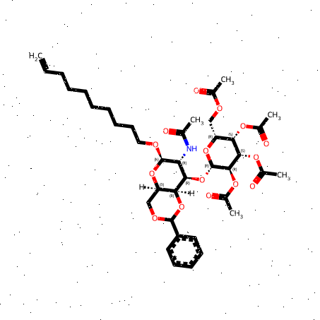 C=CCCCCCCCCO[C@@H]1O[C@@H]2COC(c3ccccc3)O[C@@H]2[C@H](O[C@@H]2O[C@H](COC(C)=O)[C@H](OC(C)=O)[C@H](OC(C)=O)[C@H]2OC(C)=O)[C@H]1NC(C)=O